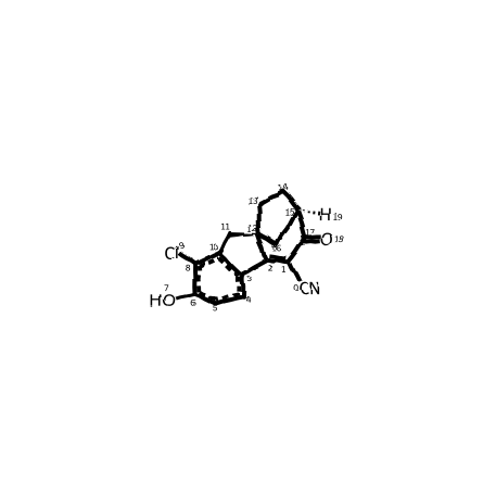 N#CC1=C2c3ccc(O)c(Cl)c3C[C@]23CC[C@H](C3)C1=O